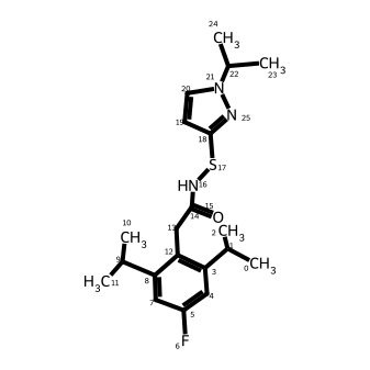 CC(C)c1cc(F)cc(C(C)C)c1CC(=O)NSc1ccn(C(C)C)n1